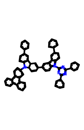 C1=CC2C(C=C1c1ccc3c(c1)c1cc(-c4ccccc4)ccc1n3-c1nc(-c3ccccc3)nc(-c3ccccc3)n1)c1cc(-c3ccccc3)ccc1N2c1ccc2c3ccccc3c3ccccc3c2c1